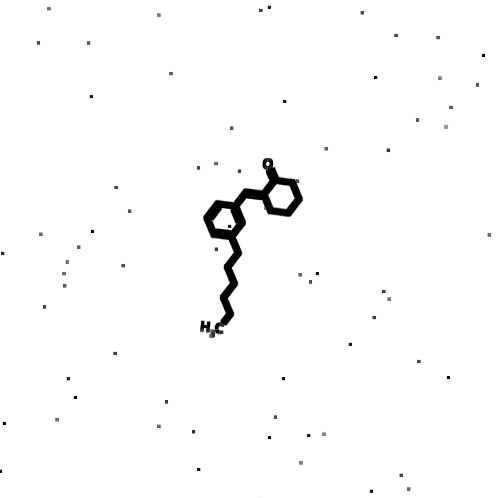 CCCCCCc1cccc(C=C2CCCCC2=O)c1